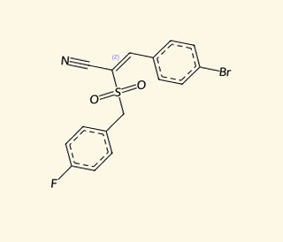 N#C/C(=C/c1ccc(Br)cc1)S(=O)(=O)Cc1ccc(F)cc1